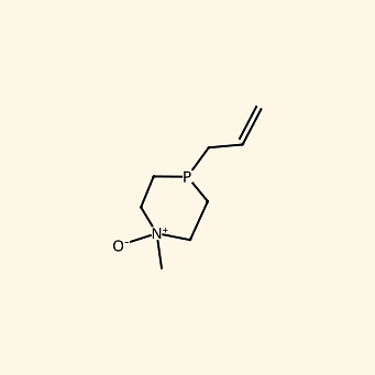 C=CCP1CC[N+](C)([O-])CC1